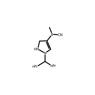 CCCC(CCC)N1C=C(B(C)C#N)CN1